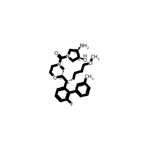 COCCCC[C@H](c1cccc(F)c1-c1cccc(C)c1)[C@H]1CN(C(=O)N2C[C@@H](N)[C@@H](O)C2)CCO1